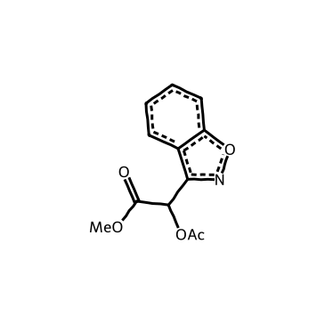 COC(=O)C(OC(C)=O)c1noc2ccccc12